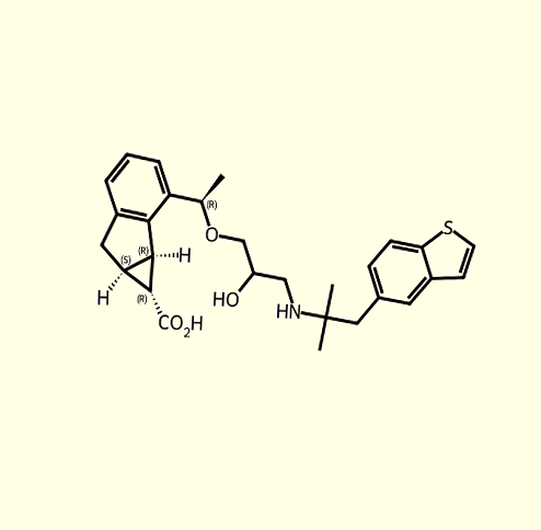 C[C@@H](OCC(O)CNC(C)(C)Cc1ccc2sccc2c1)c1cccc2c1[C@@H]1[C@H](C2)[C@H]1C(=O)O